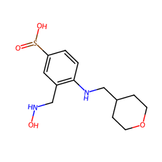 O=S(O)c1ccc(NCC2CCOCC2)c(CNO)c1